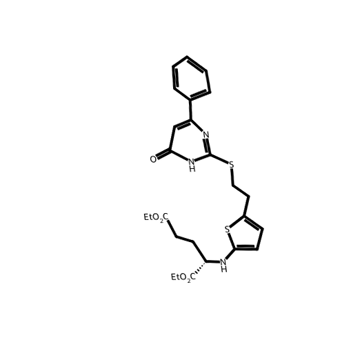 CCOC(=O)CC[C@H](Nc1ccc(CCSc2nc(-c3ccccc3)cc(=O)[nH]2)s1)C(=O)OCC